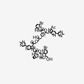 CC(=O)c1nn(CC(=O)N2[C@H](C)[C@@H](CC(O)COCC(=O)c3nn(CC(=O)N4[C@H](C(=O)Nc5nc(Br)ccc5C(O)CO)C[C@@]5(C)C#C[C@@H]45)c4cnc(-c5cnc(C)nc5)cc34)C[C@H]2C(=O)Nc2nc(Br)ccc2C)c2cnc(-c3cnc(C)nc3)cc12